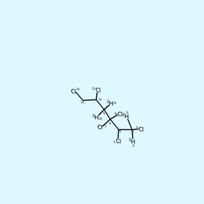 [2H]C([2H])(Cl)C(Cl)C(Cl)(Cl)C([2H])([2H])C(Cl)CCl